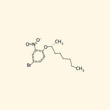 CCCCCC[C@@H](C)Oc1ccc(Br)cc1[N+](=O)[O-]